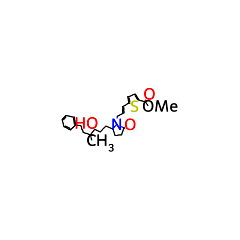 COC(=O)c1ccc(C=CCN2C(=O)CCC2CC[C@@H](O)[C@@H](C)CCc2ccccc2)s1